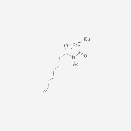 C=CCCCCCC(C(=O)OCC)N(C(C)=O)C(=O)OC(C)(C)C